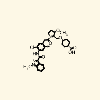 CO[C@H]1CCN(C(=O)Cc2cc(Cl)c(NC(=O)c3nn(C)c4ccccc34)cc2F)[C@@H]1CO[C@H]1CC[C@H](C(=O)O)CC1